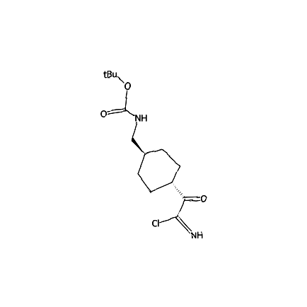 CC(C)(C)OC(=O)NC[C@H]1CC[C@H](C(=O)C(=N)Cl)CC1